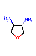 N[C@@H]1COC[C@H]1N